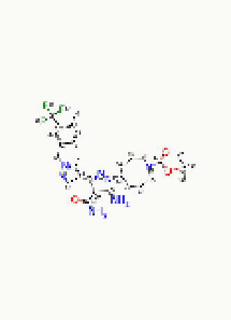 Cc1ccc(Cn2cc(-c3nn(C4CCCN(C(=O)OC(C)(C)C)CCC4)c(N)c3C(N)=O)cn2)cc1C(F)(F)F